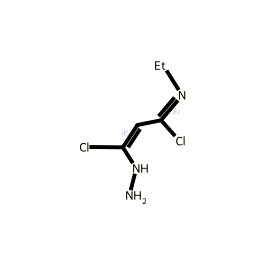 CC/N=C(Cl)\C=C(\Cl)NN